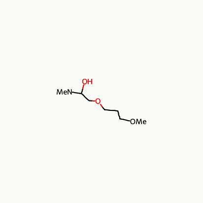 CNC(O)COCCCOC